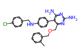 Cc1ccccc1COCc1nc(N)nc(N)c1-c1ccc(NCc2ccc(Cl)cc2)cc1